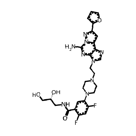 Nc1nc2c(ncn2CCN2CCN(c3cc(C(=O)NC[C@@H](O)CO)c(F)cc3F)CC2)c2cc(-c3ccco3)nn12